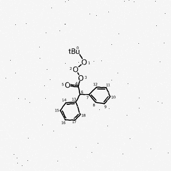 CC(C)(C)OOOC(=O)C(c1ccccc1)c1ccccc1